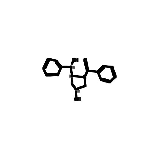 O=C(c1ccccc1)N1C[C@H](O)C[C@@H]1[C@@H](O)c1ccccc1